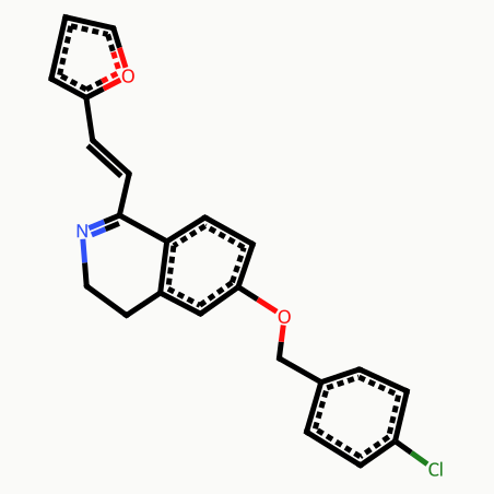 Clc1ccc(COc2ccc3c(c2)CCN=C3/C=C/c2ccco2)cc1